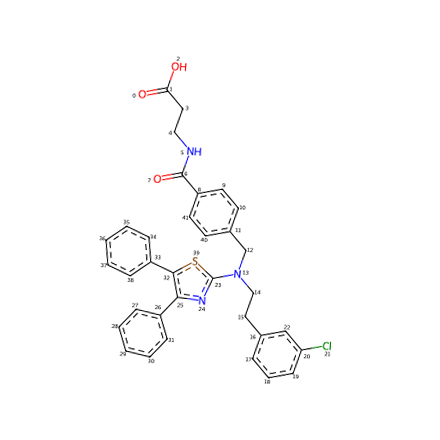 O=C(O)CCNC(=O)c1ccc(CN(CCc2cccc(Cl)c2)c2nc(-c3ccccc3)c(-c3ccccc3)s2)cc1